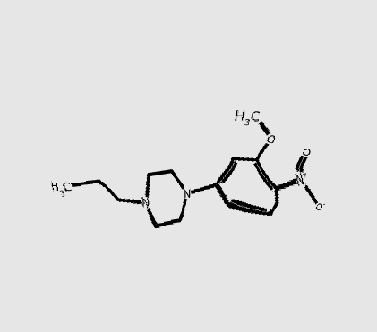 CCCN1CCN(c2ccc([N+](=O)[O-])c(OC)c2)CC1